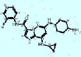 N[C@H]1CC[C@@H](Nc2cc(NC3CC3)c3ncc(C(=O)Nc4ccncc4F)n3n2)CC1